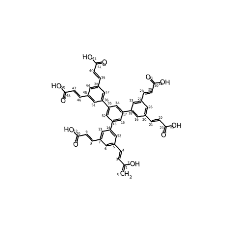 C=C(O)/C=C/c1cc(/C=C/C(=O)O)cc(-c2cc(-c3cc(/C=C/C(=O)O)cc(/C=C/C(=O)O)c3)cc(-c3cc(/C=C/C(=O)O)cc(/C=C/C(=O)O)c3)c2)c1